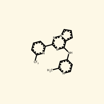 Cc1cc(Nc2nc(-c3cccc(C(F)(F)F)n3)nn3cccc23)ccn1